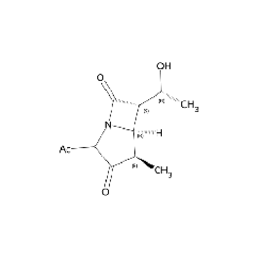 CC(=O)C1C(=O)[C@H](C)[C@@H]2[C@@H]([C@@H](C)O)C(=O)N12